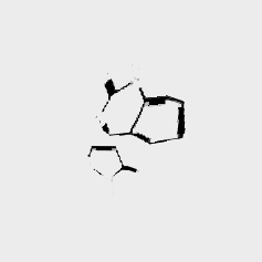 O=c1cco[nH]1.O=c1ncc2ccccc2[nH]1